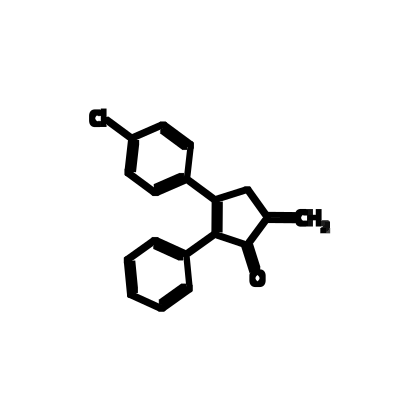 C=C1CC(c2ccc(Cl)cc2)=C(c2ccccc2)C1=O